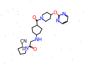 N#C[C@@H]1CCCN1C(=O)CNC1CCC(C(=O)N2CCC(Oc3ncccn3)CC2)CC1